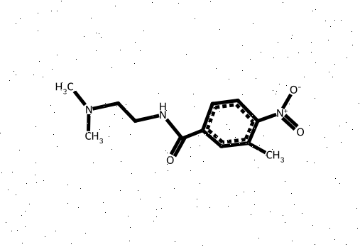 Cc1cc(C(=O)NCCN(C)C)ccc1[N+](=O)[O-]